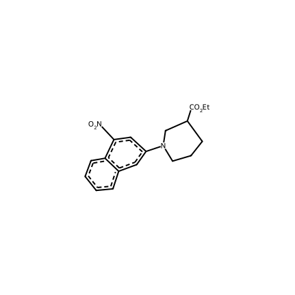 CCOC(=O)C1CCCN(c2cc([N+](=O)[O-])c3ccccc3c2)C1